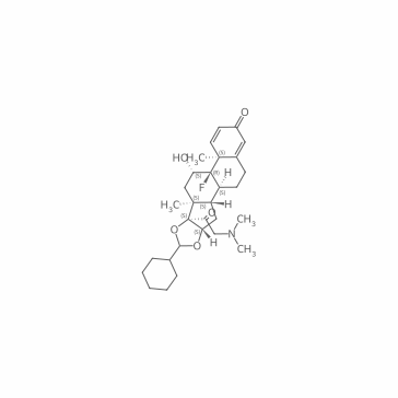 CN(C)CC(=O)[C@@]12OC(C3CCCCC3)O[C@H]1C[C@H]1[C@@H]3CCC4=CC(=O)C=C[C@]4(C)[C@@]3(F)[C@@H](O)C[C@@]12C